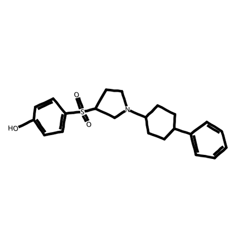 O=S(=O)(c1ccc(O)cc1)C1CCN(C2CCC(c3ccccc3)CC2)C1